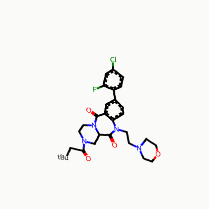 CC(C)(C)CC(=O)N1CCN2C(=O)c3cc(-c4ccc(Cl)cc4F)ccc3N(CCN3CCOCC3)C(=O)C2C1